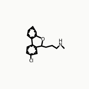 CNCCCC1Oc2ccccc2-c2ccc(Cl)cc21